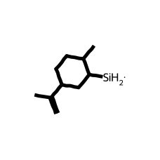 C=C(C)C1CCC(C)C([SiH2])C1